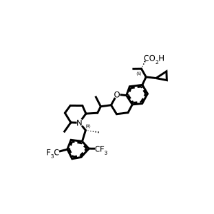 CC(CC1CCCC(C)N1[C@H](C)c1cc(C(F)(F)F)ccc1C(F)(F)F)C1CCc2ccc(C(C3CC3)[C@H](C)C(=O)O)cc2O1